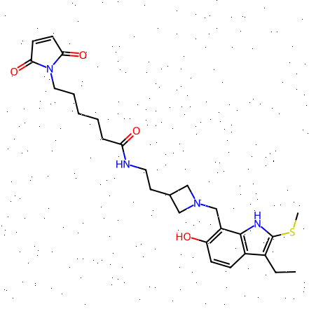 CCc1c(SC)[nH]c2c(CN3CC(CCNC(=O)CCCCCN4C(=O)C=CC4=O)C3)c(O)ccc12